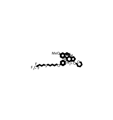 C=C[C@@]12CCc3cc(OC)ccc3[C@H]1[C@@H](c1ccc(OCCCCCSCCCC(F)(F)C(F)(F)F)cc1)C[C@]1(C)[C@@H](OC3CCCCO3)CC[C@H]12